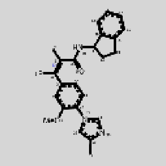 COc1cc(/C(F)=C(/C)C(=O)NC2CCc3ccccc32)ccc1-n1cnc(C)c1